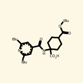 CC(C)(C)OC(=O)C1CCC(NC(=O)c2cc(C(C)(C)C)nc(C(C)(C)C)c2)(C(=O)O)CC1